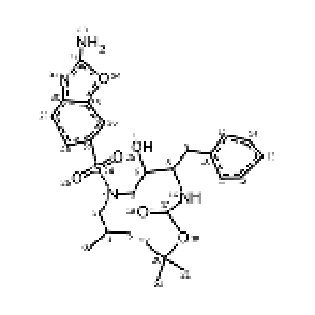 CC(C)CN(CC(O)C(Cc1ccccc1)NC(=O)OC(C)(C)C)S(=O)(=O)c1ccc2nc(N)oc2c1